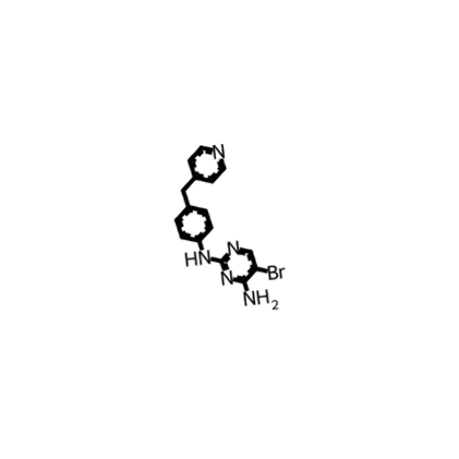 Nc1nc(Nc2ccc(Cc3ccncc3)cc2)ncc1Br